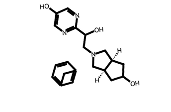 Oc1cnc(C(O)CN2C[C@H]3CC(O)C[C@H]3C2)nc1.c1cc2cc(c1)C2